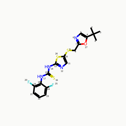 CC(C)(C)c1cnc(CSc2cnc(NC(=S)Nc3c(F)cccc3F)s2)o1